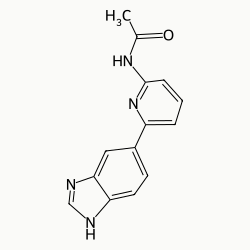 CC(=O)Nc1cccc(-c2ccc3[nH]cnc3c2)n1